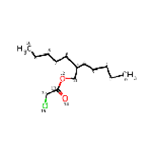 CCCCCC(CCCCC)COC(=O)CCl